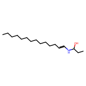 CCCCCCCCCCCCC=CNC(O)CC